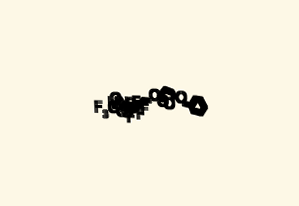 O=C(/C=C\C(=O)OCc1ccccc1)OCCC(F)(F)C(F)(F)S(=O)(=O)NS(=O)(=O)C(F)(F)F